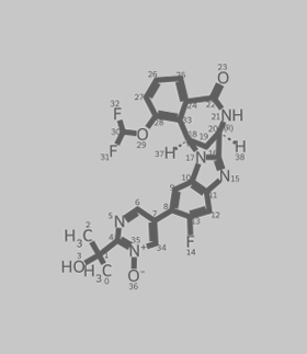 CC(C)(O)c1ncc(-c2cc3c(cc2F)nc2n3[C@@H]3C[C@H]2NC(=O)c2cccc(OC(F)F)c23)c[n+]1[O-]